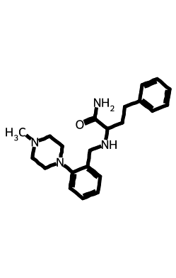 CN1CCN(c2ccccc2CNC(CCc2ccccc2)C(N)=O)CC1